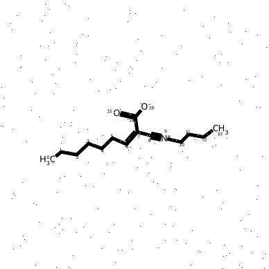 CCCCCCC=C(C#[N+]CCCC)C(=O)[O-]